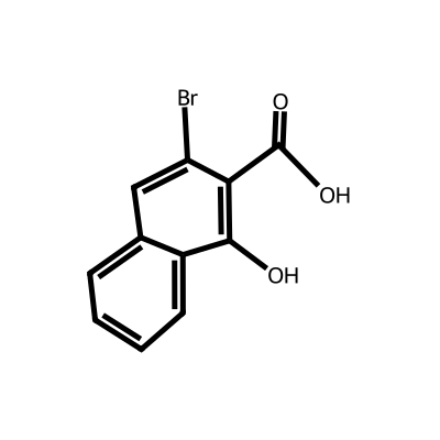 O=C(O)c1c(Br)cc2ccccc2c1O